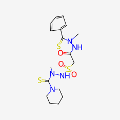 CN(NC(=O)CS(=O)(=O)NN(C)C(=S)N1CCCCC1)C(=S)c1ccccc1